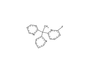 CC(c1ccccn1)(c1ccccn1)c1cccc(F)n1